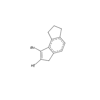 CCC(C)C1=[C]([Hf])Cc2ccc3c(c21)CCC3